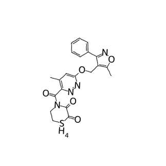 Cc1cc(OCc2c(-c3ccccc3)noc2C)nnc1C(=O)N1CC[SH4]C(=O)C1=O